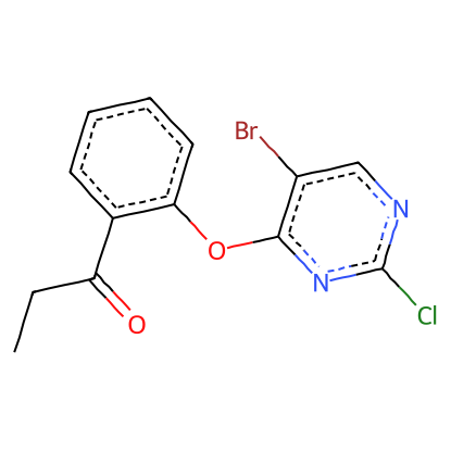 CCC(=O)c1ccccc1Oc1nc(Cl)ncc1Br